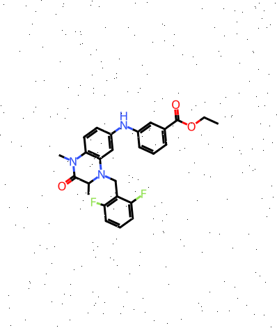 CCOC(=O)c1cccc(Nc2ccc3c(c2)N(Cc2c(F)cccc2F)C(C)C(=O)N3C)c1